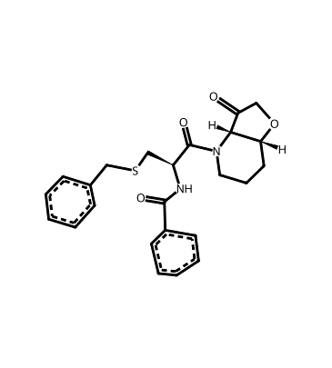 O=C(N[C@@H](CSCc1ccccc1)C(=O)N1CCC[C@H]2OCC(=O)[C@H]21)c1ccccc1